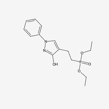 CCOP(=O)(CCc1cn(-c2ccccc2)nc1O)OCC